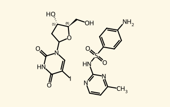 Cc1ccnc(NS(=O)(=O)c2ccc(N)cc2)n1.O=c1[nH]c(=O)n(C2C[C@H](O)[C@@H](CO)O2)cc1I